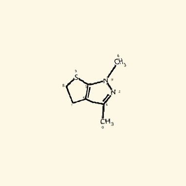 Cc1nn(C)c2c1CCS2